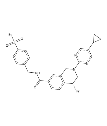 CCS(=O)(=O)c1ccc(CNC(=O)c2ccc3c(c2)CN(c2ncc(C4CC4)cn2)C[C@@H]3C(C)C)cc1